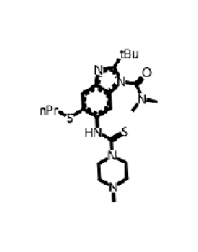 CCCSc1cc2nc(C(C)(C)C)n(C(=O)N(C)C)c2cc1NC(=S)N1CCN(C)CC1